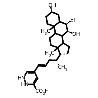 CC[C@@H]1C2C[C@H](O)CCC2(C)C2CCC3(C)C(CC[C@@H]3[C@H](C)C/C=C/C3=CNNC(C(=O)O)=C3)C2[C@@H]1O